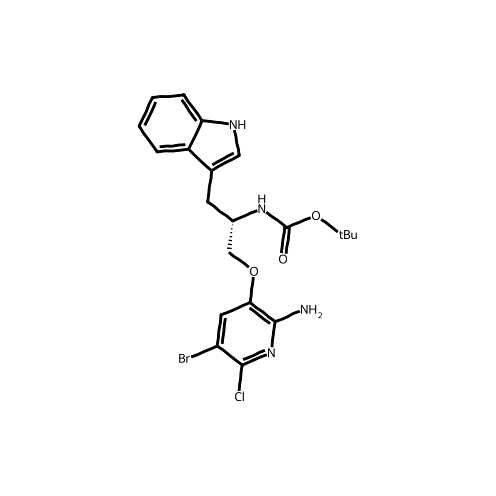 CC(C)(C)OC(=O)N[C@H](COc1cc(Br)c(Cl)nc1N)Cc1c[nH]c2ccccc12